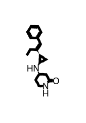 CC/C(=C\c1ccccc1)[C@@H]1C[C@H]1N[C@H]1CCNC(=O)C1